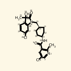 Cc1ncc(Cl)cc1C(=O)N[C@H]1CC[C@H](CN2C(=O)C(C)(C)c3ccc(Cl)cc32)CC1